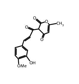 COc1ccc(C=CC(=O)C2C(=O)C=C(C)OC2=O)cc1O